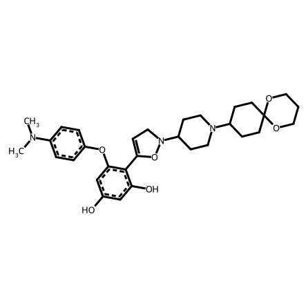 CN(C)c1ccc(Oc2cc(O)cc(O)c2C2=CCN(C3CCN(C4CCC5(CC4)OCCCO5)CC3)O2)cc1